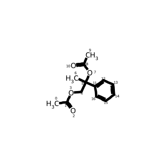 CC(=O)OCC(C)(OC(C)=O)c1ccccc1